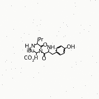 CCC(C)C(C(=O)O)N(C(=O)C(N)Cc1ccc(O)cc1)C(=O)C(N)C(C)C